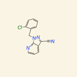 N#Cc1nn(Cc2ccccc2Cl)c2ncccc12